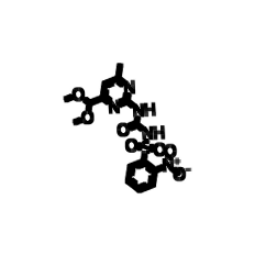 COC(OC)c1cc(C)nc(NC(=O)NS(=O)(=O)c2ccccc2[N+](=O)[O-])n1